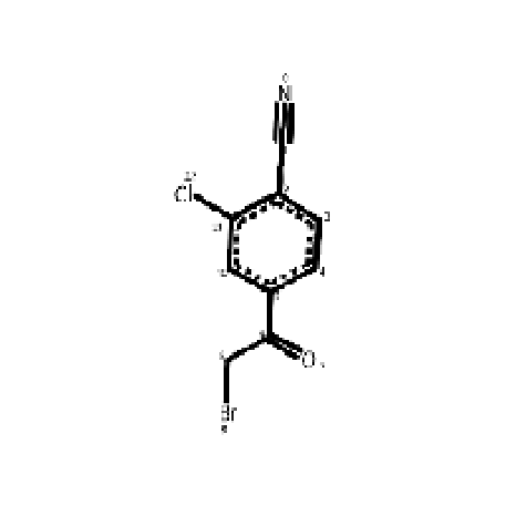 N#Cc1ccc(C(=O)CBr)cc1Cl